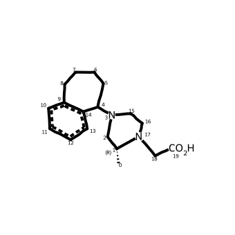 C[C@@H]1CN(C2CCCCc3ccccc32)CCN1CC(=O)O